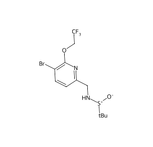 CC(C)(C)[S+]([O-])NCc1ccc(Br)c(OCC(F)(F)F)n1